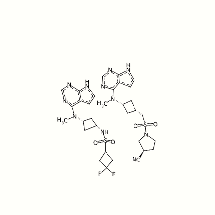 CN(c1ncnc2[nH]ccc12)[C@H]1C[C@@H](CS(=O)(=O)N2CC[C@@H](C#N)C2)C1.CN(c1ncnc2[nH]ccc12)[C@H]1C[C@@H](NS(=O)(=O)C2CC(F)(F)C2)C1